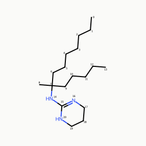 CCCCCCCC(C)(CCCCC)NC1=NCCCN1